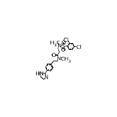 CN(CCc1ccc(C2=NCCN2)cc1)C(=O)CCN(C)S(=O)(=O)c1ccc(Cl)cc1Cl